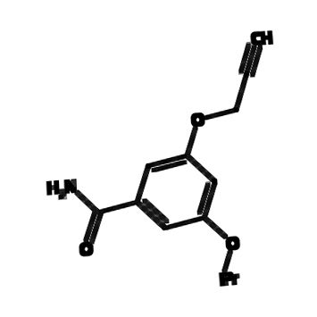 C#CCOc1cc(OC(C)C)cc(C(N)=O)c1